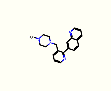 CN1CCN(Cc2cccnc2-c2ccc3cccnc3c2)CC1